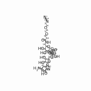 [N-]=[N+]=NCCOCCOCCC(=O)NCC1O[C@H](OP(=O)(O)OP(=O)(O)OC[C@H]2O[C@@H](n3cnc4c(=O)[nH]c(N)cc43)C(O)C2O)C(O)C(O)[C@@H]1O